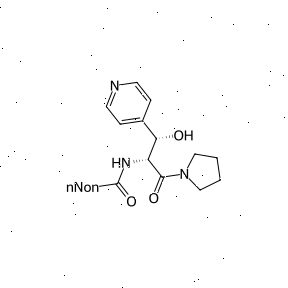 CCCCCCCCCC(=O)N[C@@H](C(=O)N1CCCC1)[C@@H](O)c1ccncc1